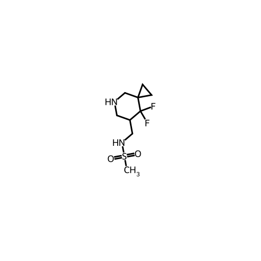 CS(=O)(=O)NCC1CNCC2(CC2)C1(F)F